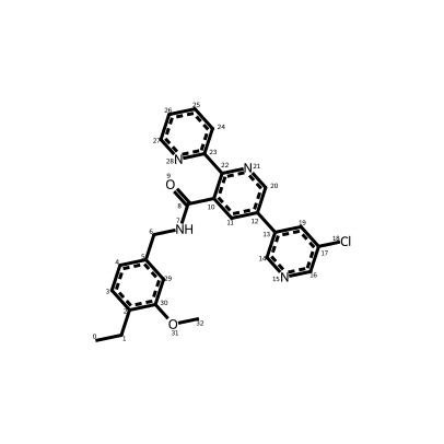 CCc1ccc(CNC(=O)c2cc(-c3cncc(Cl)c3)cnc2-c2ccccn2)cc1OC